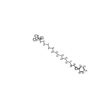 Cl[Si](Cl)(Cl)CCCCCCCCCCCCCCCCOc1ccccc1